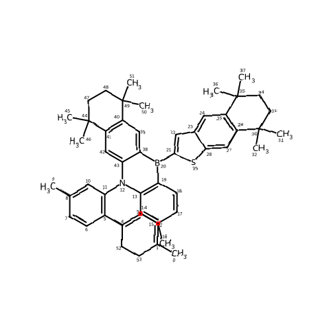 CC1=CC=C(c2ccc(C)cc2N2c3cc(C)ccc3B(c3cc4cc5c(cc4s3)C(C)(C)CCC5(C)C)c3cc4c(cc32)C(C)(C)CCC4(C)C)CC1